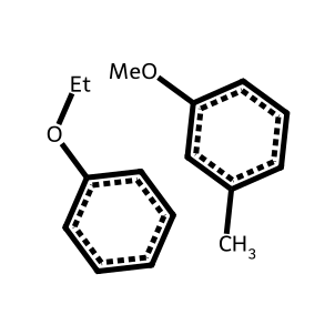 CCOc1ccccc1.COc1cccc(C)c1